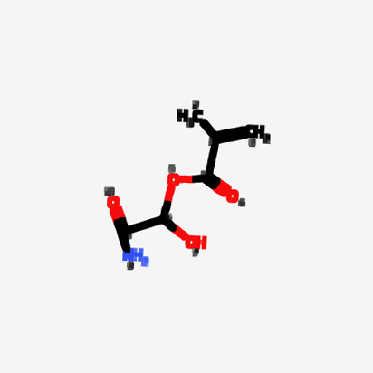 C=C(C)C(=O)OC(O)C(N)=O